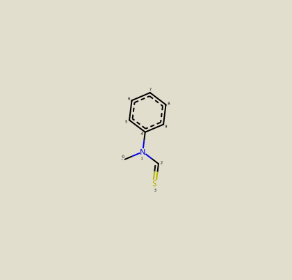 [CH2]N(C=S)c1ccccc1